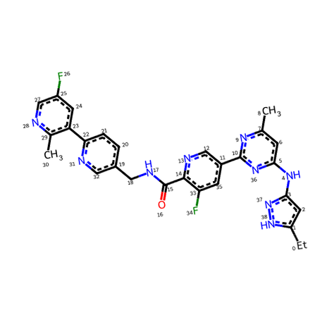 CCc1cc(Nc2cc(C)nc(-c3cnc(C(=O)NCc4ccc(-c5cc(F)cnc5C)nc4)c(F)c3)n2)n[nH]1